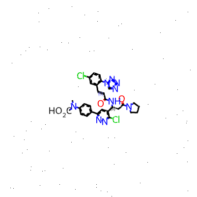 CN(C(=O)O)c1ccc(-c2cc([C@H](CC(=O)N3CCCC3)NC(=O)/C=C/c3cc(Cl)ccc3-n3cnnn3)c(Cl)nn2)cc1